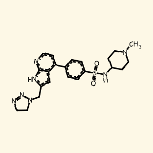 CN1CCC(NS(=O)(=O)c2ccc(-c3ccnc4[nH]c(CN5CCN=N5)cc34)cc2)CC1